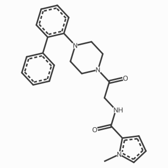 Cn1cccc1C(=O)NCC(=O)N1CCN(c2ccccc2-c2ccccc2)CC1